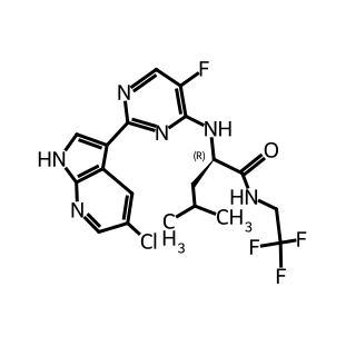 CC(C)C[C@@H](Nc1nc(-c2c[nH]c3ncc(Cl)cc23)ncc1F)C(=O)NCC(F)(F)F